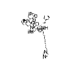 CC(C)C[C@H](NC(=O)[C@H](CCc1ccccc1)NC(=O)CCCCCCCCCN1CCN(C)CC1)C(=O)N[C@@H](Cc1ccccc1)C(=O)N[C@@H](CC(C)C)C(=O)[C@@]1(C)CO1